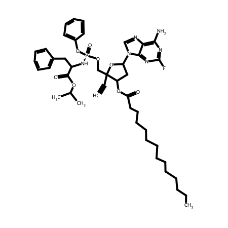 C#CC1(CO[P@@](=O)(NC(Cc2ccccc2)C(=O)OC(C)C)Oc2ccccc2)OC(n2cnc3c(N)nc(F)nc32)CC1OC(=O)CCCCCCCCCCCCC